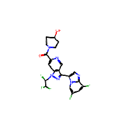 O=C(c1cc2c(cn1)c(-c1cnc3c(F)cc(F)cn13)nn2C(F)C(F)F)N1CCC(O)CC1